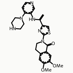 C=C(Nc1cnccc1N1CCNCC1)c1csc(N2CCc3cc(OC)c(OC)cc3C2=O)n1